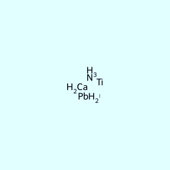 N.[CaH2].[PbH2].[Ti]